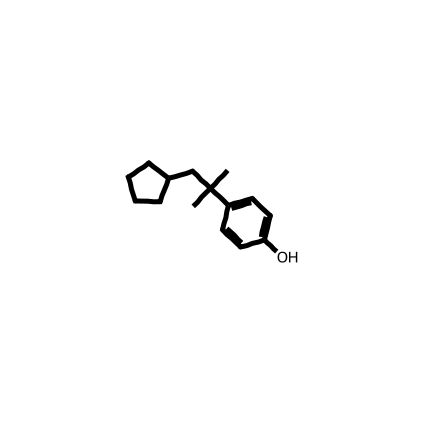 CC(C)(CC1CCCC1)c1ccc(O)cc1